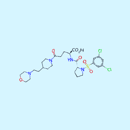 O=C(O)[C@H](CCC(=O)N1CCC(CCN2CCOCC2)CC1)NC(=O)[C@H]1CCCN1S(=O)(=O)c1cc(Cl)cc(Cl)c1